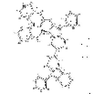 c1ccc(-n2c3ccccc3c3cc(-c4ccc5c(c4)c4c6c7c(cc4n5-c4ccccc4)Sc4cnccc4N7c4ccncc4S6)ccc32)cc1